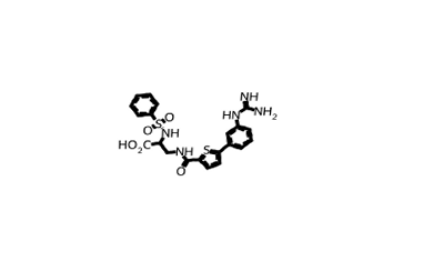 N=C(N)Nc1cccc(-c2ccc(C(=O)NCC(NS(=O)(=O)c3ccccc3)C(=O)O)s2)c1